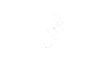 CNc1nc2ccccc2n1-c1cncc(Nc2ccc(OC(F)F)cc2)n1